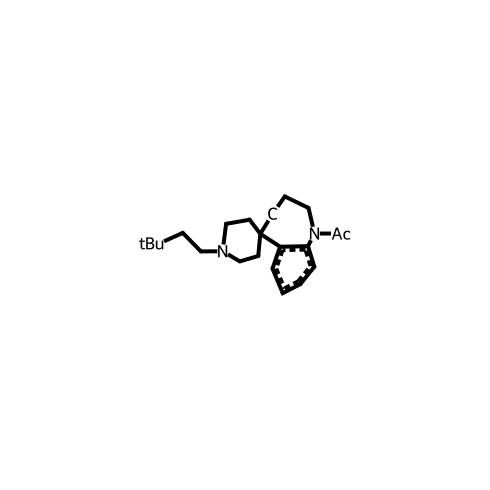 CC(=O)N1CCCC2(CCN(CCC(C)(C)C)CC2)c2ccccc21